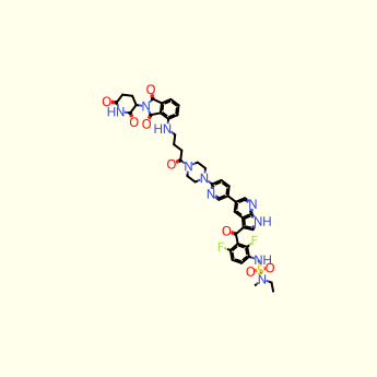 CCN(C)S(=O)(=O)Nc1ccc(F)c(C(=O)c2c[nH]c3ncc(-c4ccc(N5CCN(C(=O)CCCNc6cccc7c6C(=O)N(C6CCC(=O)NC6=O)C7=O)CC5)nc4)cc23)c1F